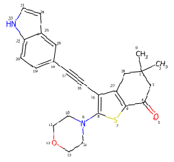 CC1(C)CC(=O)c2sc(N3CCOCC3)c(C#Cc3ccc4[nH]ccc4c3)c2C1